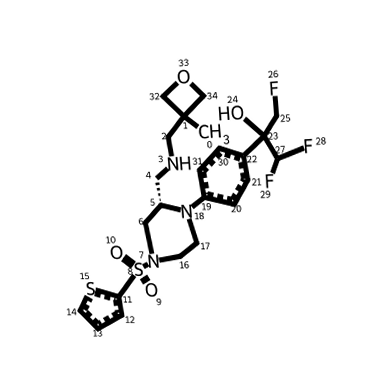 CC1(CNC[C@H]2CN(S(=O)(=O)c3cccs3)CCN2c2ccc(C(O)(CF)C(F)F)cc2)COC1